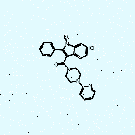 CCn1c(-c2ccccc2)c(C(=O)N2CCN(c3ccccn3)CC2)c2ccccc21.Cl